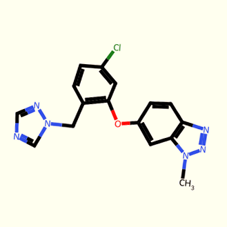 Cn1nnc2ccc(Oc3cc(Cl)ccc3Cn3cncn3)cc21